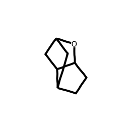 C1CC2OC3CC1C2C3